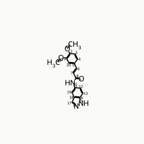 COc1ccc(C=CC(=O)Nc2ccc3[nH]ncc3c2)cc1OC